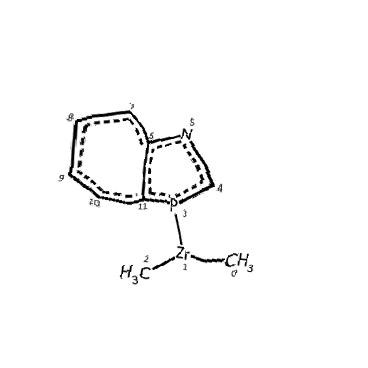 [CH3][Zr]([CH3])[p]1cnc2ccccc21